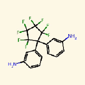 Nc1cccc(C2(c3cccc(N)c3)C(F)(F)C(F)(F)C(F)(F)C2(F)F)c1